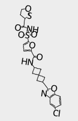 O=C(NC1CC2(C1)CC(c1nc3cc(Cl)ccc3o1)C2)c1ccc(S(=O)(=O)NC(=O)C2CCOS2)o1